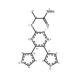 CNC(=O)C(C)Sc1nnc(-c2ccsc2)c(-c2ccsc2)n1